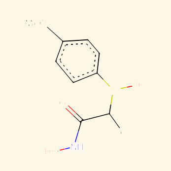 COc1ccc([S+]([O-])C(C)C(=O)NO)cc1